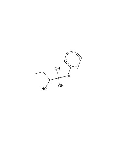 CCC(O)C(O)(O)Nc1ccccc1